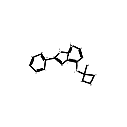 CC1(Sc2ccnc3sc(-c4ccccc4)cc23)CCC1